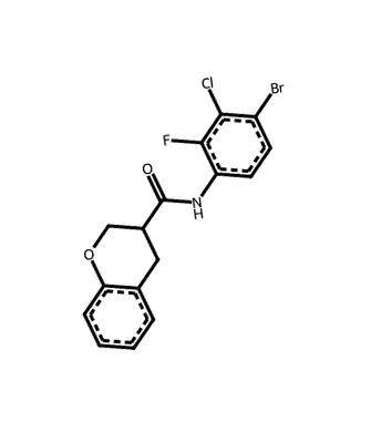 O=C(Nc1ccc(Br)c(Cl)c1F)C1COc2ccccc2C1